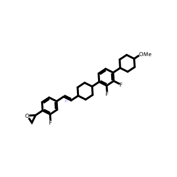 COC1CCC(c2ccc(C3CCC(/C=C/c4ccc(C5CO5)c(F)c4)CC3)c(F)c2F)CC1